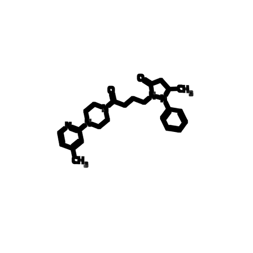 Cc1ccnc(N2CCN(C(=O)CCCN3C(=O)CC(C)N3c3ccccc3)CC2)c1